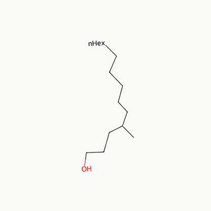 CCCCCCCCCCCC(C)CCCO